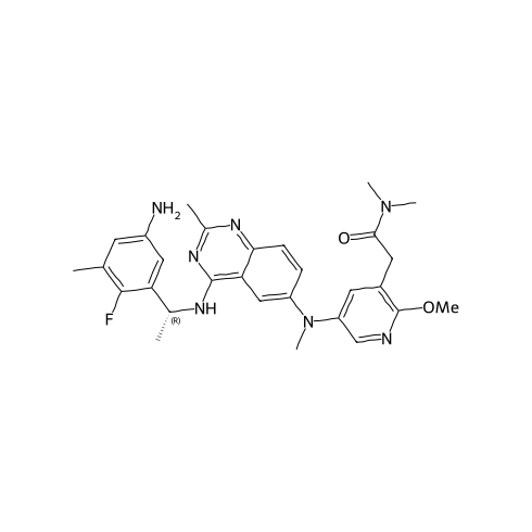 COc1ncc(N(C)c2ccc3nc(C)nc(N[C@H](C)c4cc(N)cc(C)c4F)c3c2)cc1CC(=O)N(C)C